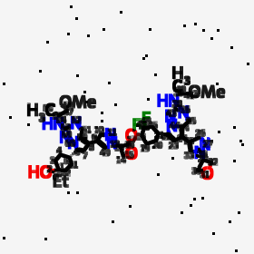 CC[C@]1(O)CC[C@H](c2cc(-c3cnn(C4COC4O[C@H]4CC[C@H](c5cc(-c6cnn(C7COC7)c6)c6cnc(N[C@@H](C)COC)nn56)CC4(F)F)c3)c3cnc(N[C@@H](C)COC)nn32)CC1